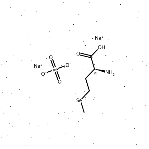 C[Se]CC[C@H](N)C(=O)O.O=[Se](=O)([O-])[O-].[Na+].[Na+]